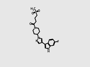 CS(=O)(=O)CCCC(=O)N1CCC(n2cc(-c3c[nH]c4cc(F)ccc34)cn2)CC1